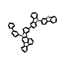 c1ccc(-c2cccc(-n3c4ccc(-c5ccc6c(c5)c5ccccc5n6-c5ccc6c(c5)sc5ccccc56)cc4c4c5cccc6c5c(cc43)-c3ccccc3-6)c2)cc1